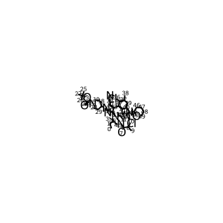 CC[C@@]1(C)CN(C(=O)C(C)Cl)CCN1c1nn(C2CCN(C(=O)OC(C)(C)C)CC2)c(C#N)c1-c1c(Cl)c(C)cc2c1cnn2C1CCCCO1